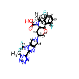 Cn1nnnc1-c1nc2c(n1C(F)F)CN([C@H]1CO[C@H](c3cc(F)ccc3F)[C@@H](N(C(=O)O)C(C)(C)C)C1)C2